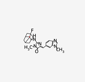 CN1C(=O)/C(=C/c2ccc3ncn(C)c3c2)N=C1NC12CC3CC(CC(F)(C3)C1)C2